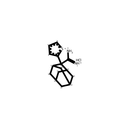 Cl.N=C(N)C1(c2cccs2)C2CC3CC(C2)CC1C3